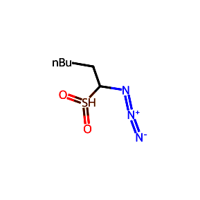 CCCCCC(N=[N+]=[N-])[SH](=O)=O